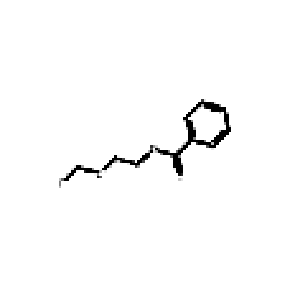 O=C(OCCOCF)c1ccccc1